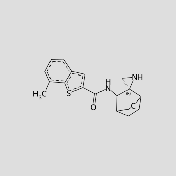 Cc1cccc2cc(C(=O)NC3C4CCC(CC4)[C@@]34CN4)sc12